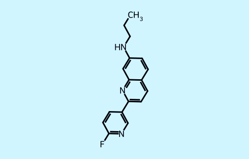 CCCNc1ccc2ccc(-c3ccc(F)nc3)nc2c1